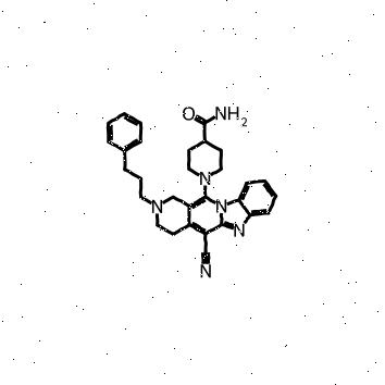 N#Cc1c2c(c(N3CCC(C(N)=O)CC3)n3c1nc1ccccc13)CN(CCCc1ccccc1)CC2